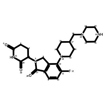 O=C1CCC(N2Cc3c(ccc(F)c3N3CCC(CN4CCNCC4)CC3)C2=O)C(=O)N1